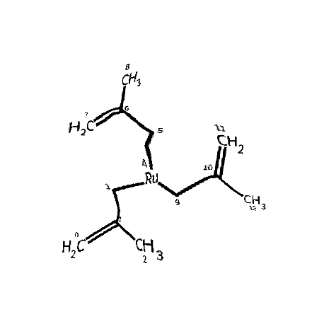 C=C(C)[CH2][Ru]([CH2]C(=C)C)[CH2]C(=C)C